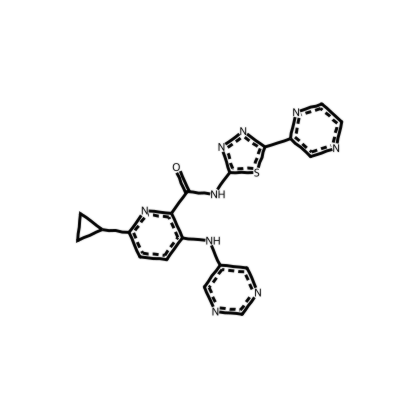 O=C(Nc1nnc(-c2cnccn2)s1)c1nc(C2CC2)ccc1Nc1cncnc1